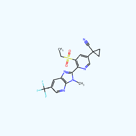 CCS(=O)(=O)c1cc(C2(C#N)CC2)cnc1-c1nc2cc(C(F)(F)F)cnc2n1C